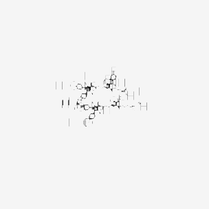 CCCCCCCN(CCCCCSc1nc(-c2ccc(C)cc2)c(-c2ccc(C)cc2)[nH]1)C(=O)Nc1ccc(F)cc1F.CCCCCCCN(CCCCCSc1nc(-c2ccc(OC)cc2)c(-c2ccc(OC)cc2)[nH]1)C(=O)CCC